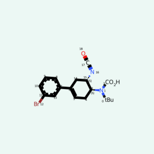 CC(C)(C)N(C(=O)O)[C@H]1CC=C(c2cccc(Br)c2)C[C@@H]1N=C=O